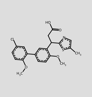 COc1ccc(Cl)cc1-c1ccc(OC)c(C(CC(=O)O)c2ncc(C)s2)c1